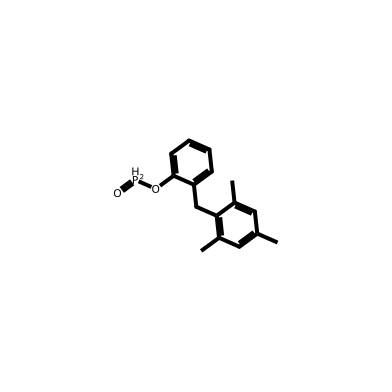 Cc1cc(C)c(Cc2ccccc2O[PH2]=O)c(C)c1